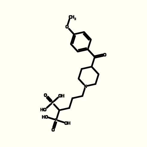 COc1ccc(C(=O)C2CCN(CCCC(P(=O)(O)O)P(=O)(O)O)CC2)cc1